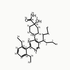 CCCC(CCC)c1cnc(-c2c(CC)cccc2CC)nc1N1CCC(O)(C(N)=O)CC1